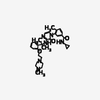 Cc1ccc(C(=O)NC2CC2)cc1-n1ccnc(NC(C)(C)c2ccccc2OCCN2CCN(C)CC2)c1=O